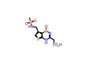 CS(=O)(=O)NCc1csc2c1[S+]([O-])N=C(CC(=O)O)N2